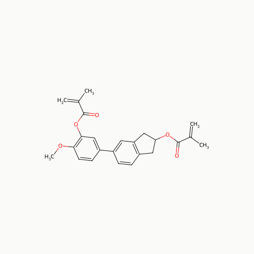 C=C(C)C(=O)Oc1cc(-c2ccc3c(c2)CC(OC(=O)C(=C)C)C3)ccc1OC